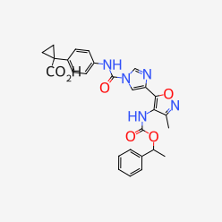 Cc1noc(-c2cn(C(=O)Nc3ccc(C4(C(=O)O)CC4)cc3)cn2)c1NC(=O)OC(C)c1ccccc1